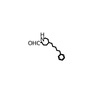 O=CC1CCC(CCCCCc2ccccc2)CCN1